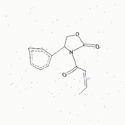 C/C=C\C(=O)N1C(=O)OCC1c1ccccc1